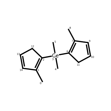 CC1=[C]([Ge]([CH3])([CH3])[C]2=C(C)C=CC2)CC=C1